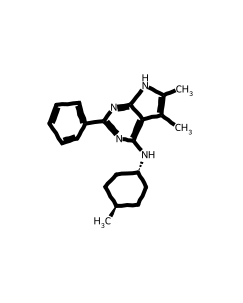 Cc1[nH]c2nc(-c3ccccc3)nc(N[C@H]3CC[C@H](C)CC3)c2c1C